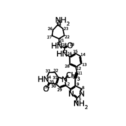 Cn1c(-c2nc(N)ncc2C#Cc2cccc(NC(=O)NC3CCC(N)CC3)c2)cc2c1CCNC2=O